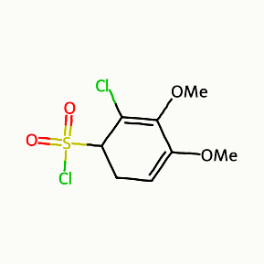 COC1=CCC(S(=O)(=O)Cl)C(Cl)=C1OC